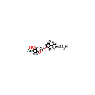 CCCc1c(OCCCOc2ccc3c(c2CCC)CC(CCC(=O)O)CC3)ccc(C(C)=O)c1O